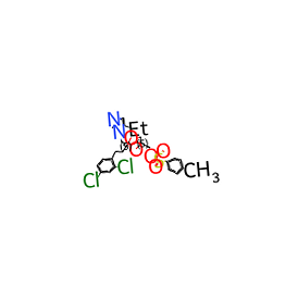 CCc1cncn1C[C@@]1(CCc2ccc(Cl)cc2Cl)OC[C@@H](COS(=O)(=O)c2ccc(C)cc2)O1